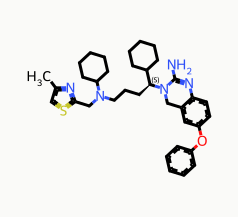 Cc1csc(CN(CCC[C@@H](C2CCCCC2)N2Cc3cc(Oc4ccccc4)ccc3N=C2N)C2CCCCC2)n1